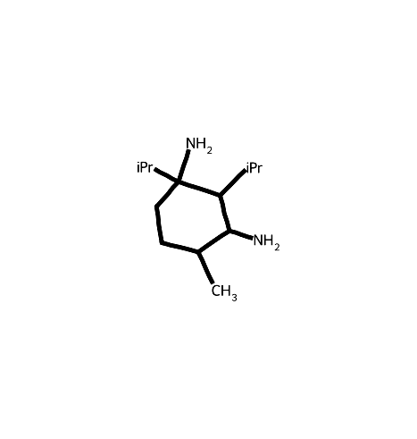 CC(C)C1C(N)C(C)CCC1(N)C(C)C